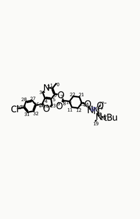 Cc1ncc2c(c1OC(=O)C1CCC(O/N=[N+](\[O-])N(C)C(C)(C)C)CC1)CO[C@H]2c1ccc(Cl)cc1